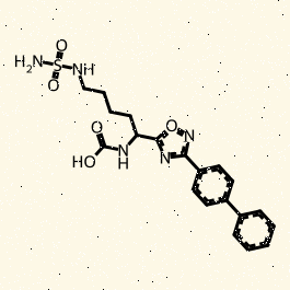 NS(=O)(=O)NCCCCC(NC(=O)O)c1nc(-c2ccc(-c3ccccc3)cc2)no1